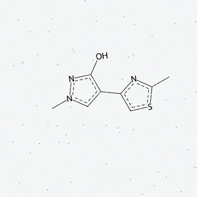 Cc1nc(-c2cn(C)nc2O)cs1